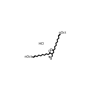 CCCCCCCCC=CCCCCCCCC(=O)CC(CN(C)C)C(=O)CCCCCCCC=CCCCCCCCC.Cl